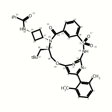 Cc1cccc(C)c1-c1cc2nc(n1)NS(=O)(=O)c1cccc(c1)C(=O)N([C@H]1C[C@@H](NC(=O)C(C)C)C1)[C@H](CC(C)(C)C)CO2